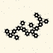 c1ccc(-n2c3ccc(-c4ccc5c6c7c(sc8ccccc87)c(-c7cccc8c7oc7cc9c(cc78)c7cc(-c8ccc%10c%11c%12c(ccc%11n(-c%11ccccc%11)c%10c8)oc8ccccc8%12)ccc7n9-c7ccccc7)cc6n(-c6ccccc6)c5c4)cc3c3cc4c(cc32)oc2ccccc24)cc1